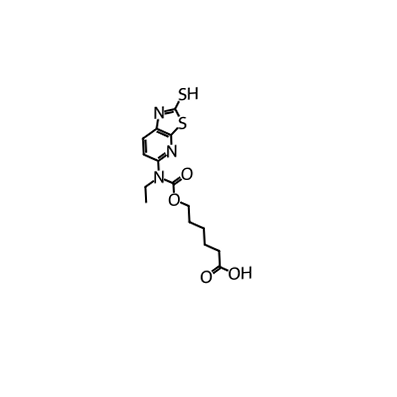 CCN(C(=O)OCCCCCC(=O)O)c1ccc2nc(S)sc2n1